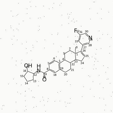 CC12CCC3c4ccc(C(=O)NC5CCCC5O)cc4CCC3C1CC=C2c1cncc(F)c1